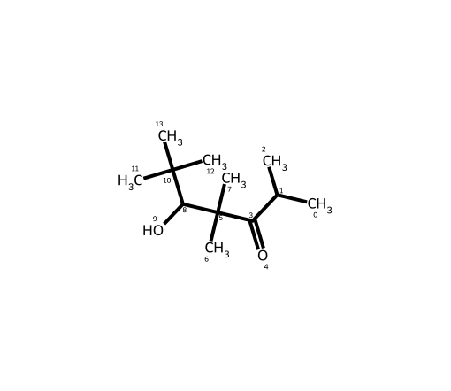 CC(C)C(=O)C(C)(C)C(O)C(C)(C)C